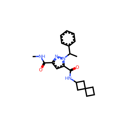 CNC(=O)c1cc(C(=O)NC2CC3(CCC3)C2)n(C(C)c2ccccc2)n1